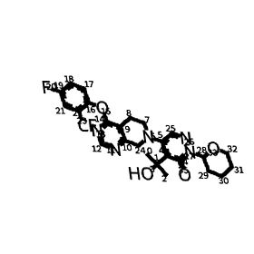 CC(C)(O)c1c(N2CCc3c(ncnc3Oc3ccc(F)cc3C(F)(F)F)C2)cnn(C2CCCCO2)c1=O